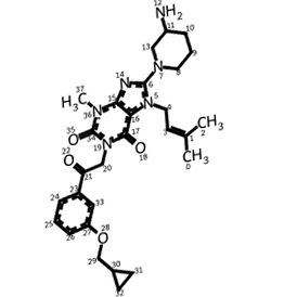 CC(C)=CCn1c(N2CCCC(N)C2)nc2c1c(=O)n(CC(=O)c1cccc(OCC3CC3)c1)c(=O)n2C